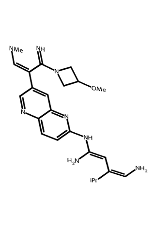 CN/C=C(\C(=N)N1CC(OC)C1)c1cnc2ccc(N/C(N)=C/C(=C\N)C(C)C)nc2c1